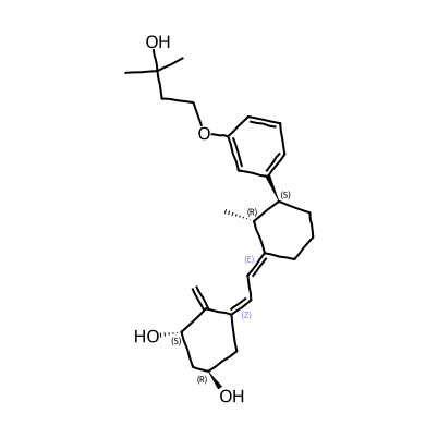 C=C1/C(=C\C=C2/CCC[C@H](c3cccc(OCCC(C)(C)O)c3)[C@H]2C)C[C@@H](O)C[C@@H]1O